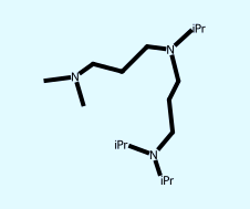 CC(C)N(CCCN(C)C)CCCN(C(C)C)C(C)C